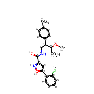 COc1ccc(C(CNC(=O)c2cc(-c3ccccc3Cl)on2)C(OC(C)C)C(=O)O)cc1